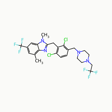 Cc1cc(C(F)(F)F)cc2c1nc(Cc1c(Cl)ccc(CN3CCN(CC(F)(F)F)CC3)c1Cl)n2C